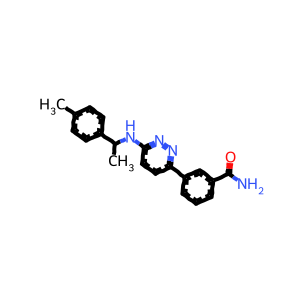 Cc1ccc(C(C)Nc2ccc(-c3cccc(C(N)=O)c3)nn2)cc1